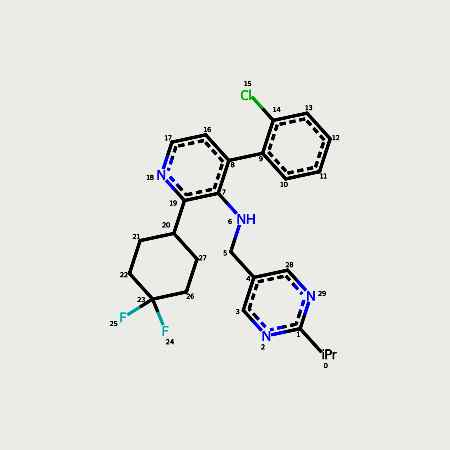 CC(C)c1ncc(CNc2c(-c3ccccc3Cl)ccnc2C2CCC(F)(F)CC2)cn1